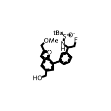 COCc1cc2cc(CO)cc(-c3cccc(C(CF)N[S@+]([O-])C(C)(C)C)c3)c2o1